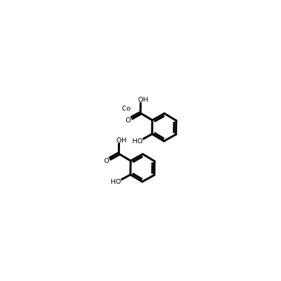 O=C(O)c1ccccc1O.O=C(O)c1ccccc1O.[Co]